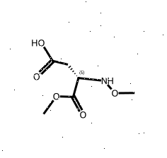 CON[C@@H](CC(=O)O)C(=O)OC